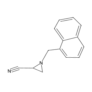 N#CC1CN1Cc1cccc2ccccc12